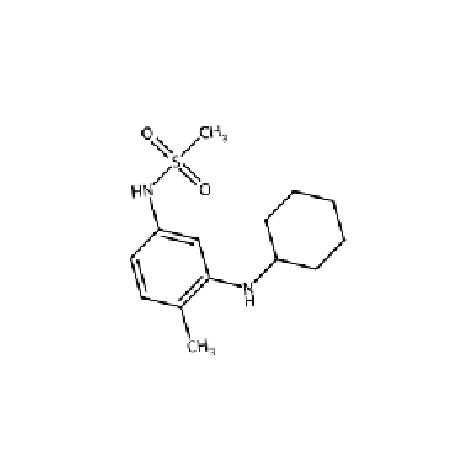 Cc1ccc(NS(C)(=O)=O)cc1NC1CCCCC1